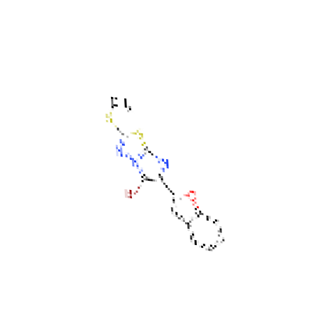 CSc1nn2c(Br)c(-c3cc4ccccc4o3)nc2s1